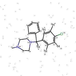 [2H]c1c([2H])c(C([2H])(c2ccccc2)N2CCN(C)CC2)c([2H])c([2H])c1Cl